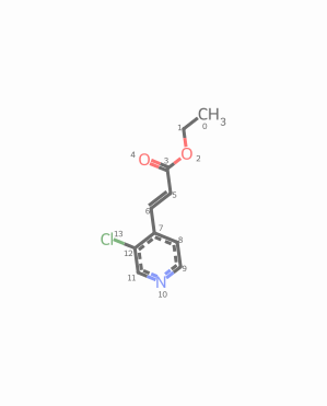 CCOC(=O)C=Cc1ccncc1Cl